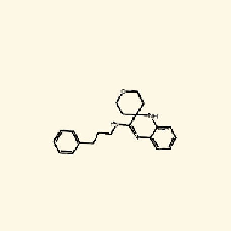 c1ccc(CCCNC2=Nc3ccccc3NC23CCOCC3)cc1